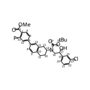 COC(=O)c1ccc(-c2ccc3c(c2)C[C@@H](N(C[C@@H](O)c2cccc(Cl)c2)C(=O)OC(C)(C)C)CC3)cc1F